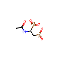 CC(=O)NC(C[SH](=O)=O)[SH](=O)=O